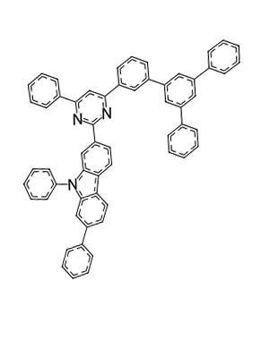 c1ccc(-c2cc(-c3ccccc3)cc(-c3cccc(-c4cc(-c5ccccc5)nc(-c5ccc6c7ccc(-c8ccccc8)cc7n(-c7ccccc7)c6c5)n4)c3)c2)cc1